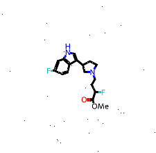 COC(=O)C(F)CCN1CCC(c2c[nH]c3cc(F)ccc23)C1